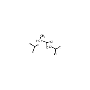 CO.ClC(Cl)Cl.ClC(Cl)Cl.ClC(Cl)Cl